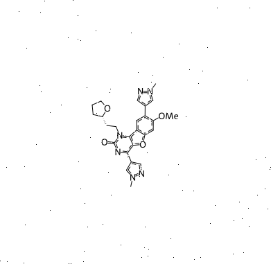 COc1cc2oc3c(-c4cnn(C)c4)nc(=O)n(CC[C@@H]4CCCO4)c3c2cc1-c1cnn(C)c1